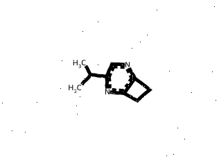 CC(C)c1cnc2c(n1)CC2